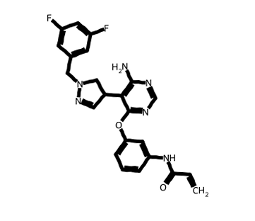 C=CC(=O)Nc1cccc(Oc2ncnc(N)c2C2C=NN(Cc3cc(F)cc(F)c3)C2)c1